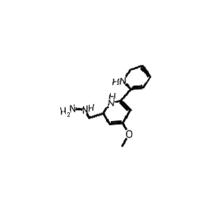 COC1=CC(CNN)NC(C2=CC=CCN2)=C1